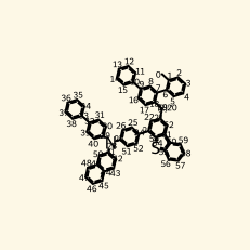 Cc1ccccc1-c1cc(-c2ccccc2)ccc1[C@H](C)c1cc(-c2ccc(N(c3ccc(-c4ccccc4)cc3)c3ccc4ccccc4c3)cc2)c2sc3ccccc3c2c1